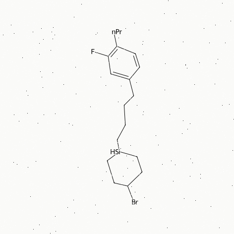 CCCc1ccc(CCCC[SiH]2CCC(Br)CC2)cc1F